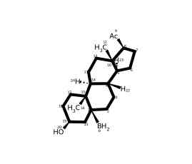 B[C@]12CC[C@H]3[C@@H]4CC[C@H](C(C)=O)[C@@]4(C)CC[C@@H]3[C@@]1(C)CC[C@H](O)C2